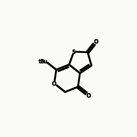 CC(C)(C)C1=C2SC(=O)C=C2C(=O)CO1